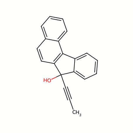 CC#CC1(O)c2ccccc2-c2c1ccc1ccccc21